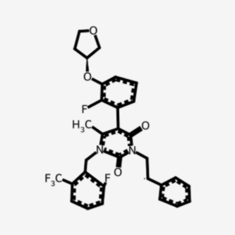 Cc1c(-c2cccc(O[C@H]3CCOC3)c2F)c(=O)n(C[CH]c2ccccc2)c(=O)n1Cc1c(F)cccc1C(F)(F)F